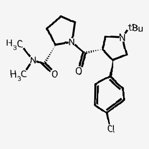 CN(C)C(=O)[C@@H]1CCCN1C(=O)[C@@H]1CN(C(C)(C)C)C[C@H]1c1ccc(Cl)cc1